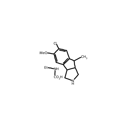 CCNC(=O)O.COc1cc2c(cc1Cl)C(C)C1CNCC21